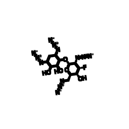 [N-]=[N+]=NC[C@H]1O[C@H](OC2C(N=[N+]=[N-])CC(N=[N+]=[N-])C(O)C2O)[C@H](N=[N+]=[N-])[C@H](F)[C@@H]1O